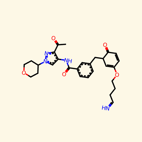 CC(=O)c1nn(C2CCOCC2)cc1NC(=O)c1cccc(CC2C=C(OCCCC=N)C=CC2=O)c1